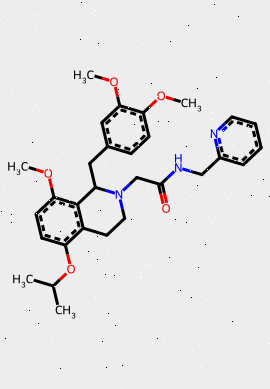 COc1ccc(CC2c3c(OC)ccc(OC(C)C)c3CCN2CC(=O)NCc2ccccn2)cc1OC